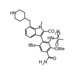 COc1c(C(N)=O)cc(C(C)(C)C)c(-c2c(C(=O)O)n(C)c3c(CC4CCNCC4)cccc23)c1NS(C)(=O)=O